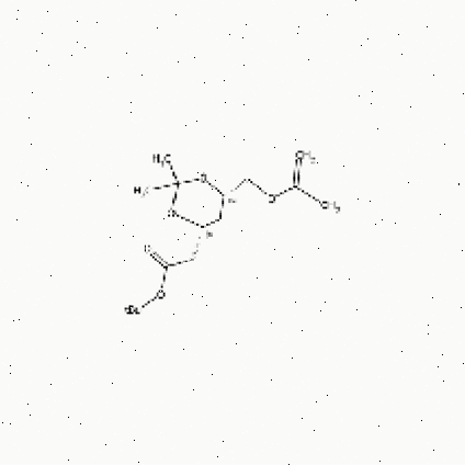 C=C(C)OC[C@@H]1C[C@H](CC(=O)OC(C)(C)C)OC(C)(C)O1